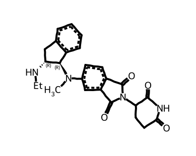 CCN[C@@H]1Cc2ccccc2[C@H]1N(C)c1ccc2c(c1)C(=O)N(C1CCC(=O)NC1=O)C2=O